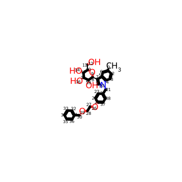 Cc1ccc2c(c1)c([C@@H]1O[C@H](CO)[C@@H](O)[C@H](O)[C@H]1O)cn2Cc1ccc(OCCOCc2ccccc2)cc1